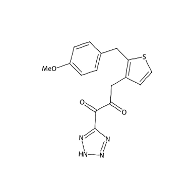 COc1ccc(Cc2sccc2CC(=O)C(=O)c2nn[nH]n2)cc1